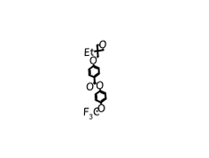 CCC1(COc2ccc(C(=O)Oc3ccc(OC(F)(F)F)cc3)cc2)COC1